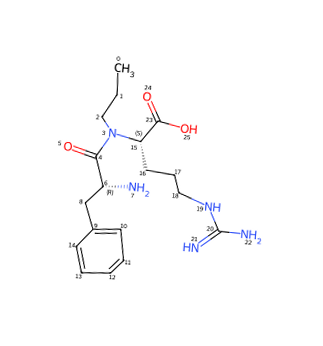 CCCN(C(=O)[C@H](N)Cc1ccccc1)[C@@H](CCCNC(=N)N)C(=O)O